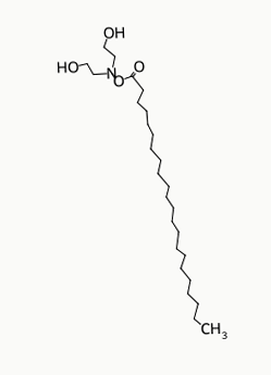 CCCCCCCCCCCCCCCCCCCCCC(=O)ON(CCO)CCO